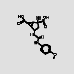 COc1ccc(NC(=O)NC2CC(N)(C(=O)O)C3C(C(=O)O)C23)cc1